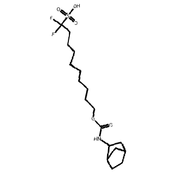 O=C(NC1CC2CCC1C2)OCCCCCCCCCC(F)(F)S(=O)(=O)O